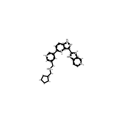 c1cc2[nH]c(-c3n[nH]c4ccc(-c5cncc(CNCC6CCCC6)c5)nc34)nc2cn1